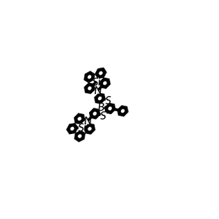 c1ccc(-c2cc3c4c(c2)Sc2cc(N5c6ccccc6[Si](c6ccccc6)(c6ccccc6)c6ccccc65)ccc2B4c2ccc(N4c5ccccc5[Si](c5ccccc5)(c5ccccc5)c5ccccc54)cc2S3)cc1